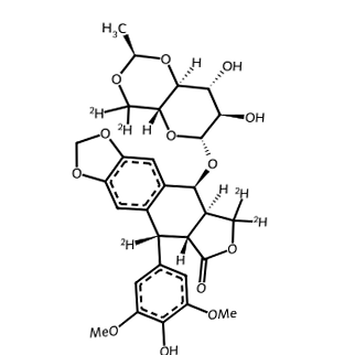 [2H]C1([2H])OC(=O)[C@H]2[C@H]1[C@H](O[C@@H]1O[C@H]3[C@@H](O[C@H](C)OC3([2H])[2H])[C@H](O)[C@H]1O)c1cc3c(cc1[C@@]2([2H])c1cc(OC)c(O)c(OC)c1)OCO3